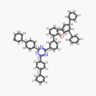 c1ccc(-c2ccc(-c3nc(-c4ccc(-c5ccccc5)cc4)nc(-c4cccc(-c5cccc6c5oc5c(-c7ccccc7)cc(-c7ccccc7)cc56)c4)n3)cc2)cc1